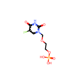 O=c1[nH]c(=O)n(COCCOP(=O)(O)O)cc1F